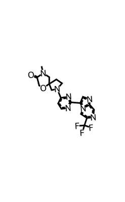 CN1CC2(CCN(c3ccnc(-c4cnc5cnc(C(F)(F)F)cn45)n3)C2)OCC1=O